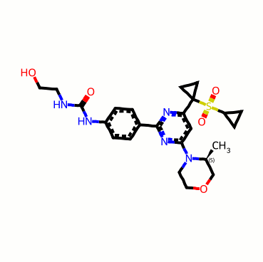 C[C@H]1COCCN1c1cc(C2(S(=O)(=O)C3CC3)CC2)nc(-c2ccc(NC(=O)NCCO)cc2)n1